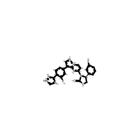 O=C1OC[C@H](c2cccc(F)c2)N1c1ccn2ncc(-c3ccc(-c4nc[nH]n4)c(F)c3)c2n1